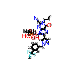 CCCn1c(C#N)nc2c(nc(-c3cnn(Cc4cccc(C(F)(F)F)c4)c3)n2COP(=O)(O)O)c1=O.[NaH].[NaH]